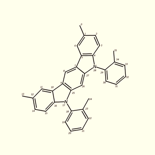 Cc1ccc2c(c1)c1cc3c4cc(C)ccc4n(-c4ccccc4C)c3cc1n2-c1ccccc1C